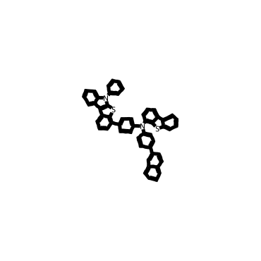 c1ccc(-n2c3ccccc3c3c4cccc(-c5ccc(N(c6ccc(-c7ccc8ccccc8c7)cc6)c6cccc7c6sc6ccccc67)cc5)c4sc32)cc1